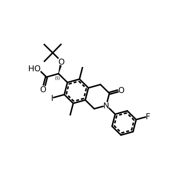 Cc1c(I)c([C@H](OC(C)(C)C)C(=O)O)c(C)c2c1CN(c1cccc(F)c1)C(=O)C2